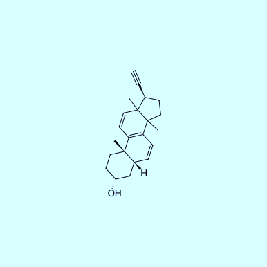 C#C[C@H]1CCC2(C)C3=C(C=CC12C)[C@@]1(C)CC[C@@H](O)C[C@H]1C=C3